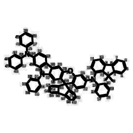 CC1(C)c2ccccc2-c2cccc(N(c3ccccc3)c3ccc4c(c3)Oc3cc5c6ccc(N(c7ccccc7)c7ccccc7)cc6n(-c6ccccc6)c5cc3C43c4ccccc4-c4ccccc43)c21